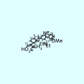 CCN(CC)Cc1cc([C@@H]2CCc3ccc([C@H](C4CC4)[C@H](C)C(=O)O)cc3O2)ccc1-c1cc(OC)ncc1C#N